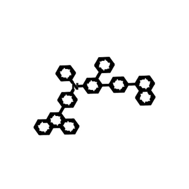 c1ccc(-c2cc(N(c3ccccc3)c3ccc(-c4cc5ccccc5c5ccccc45)cc3)ccc2-c2ccc(-c3cccc4ccccc34)cc2)cc1